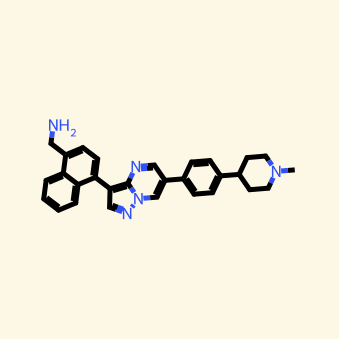 CN1CCC(c2ccc(-c3cnc4c(-c5ccc(CN)c6ccccc56)cnn4c3)cc2)CC1